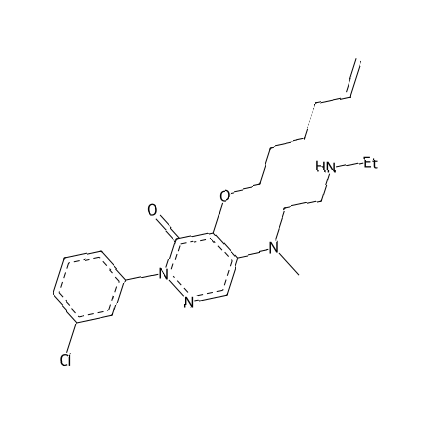 C=CCCCCOc1c(N(C)CCNCC)cnn(-c2cccc(Cl)c2)c1=O